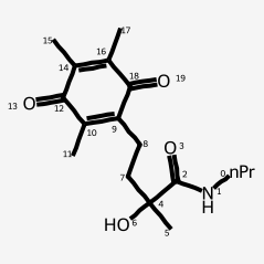 CCCNC(=O)C(C)(O)CCC1=C(C)C(=O)C(C)=C(C)C1=O